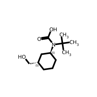 CC(C)(C)N(C(=O)O)[C@H]1CCC[C@H](CO)C1